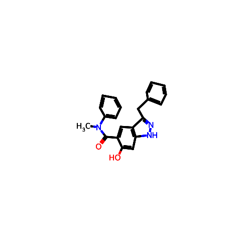 CN(C(=O)c1cc2c(Cc3ccccc3)n[nH]c2cc1O)c1ccccc1